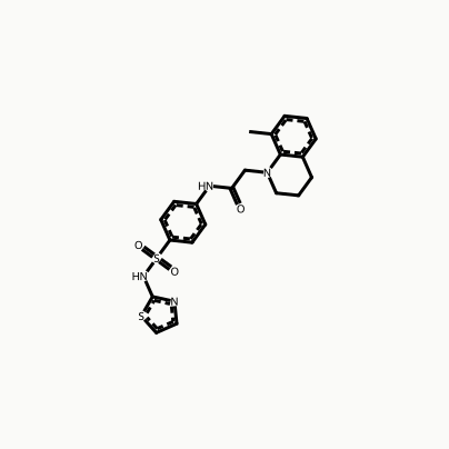 Cc1cccc2c1N(CC(=O)Nc1ccc(S(=O)(=O)Nc3nccs3)cc1)CCC2